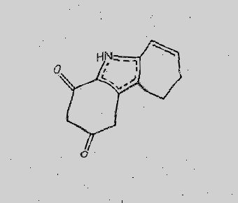 O=C1CC(=O)c2[nH]c3c(c2C1)CCC=C3